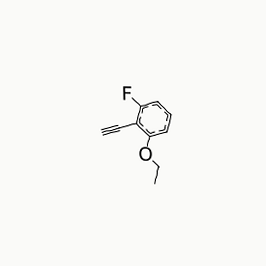 C#Cc1c(F)cccc1OCC